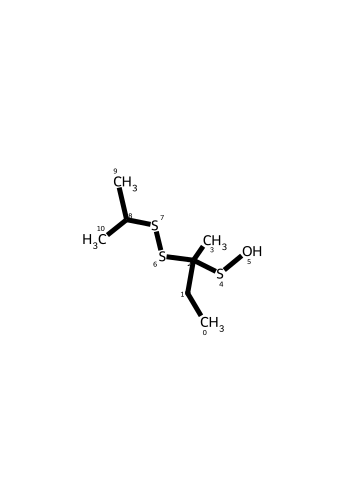 CCC(C)(SO)SSC(C)C